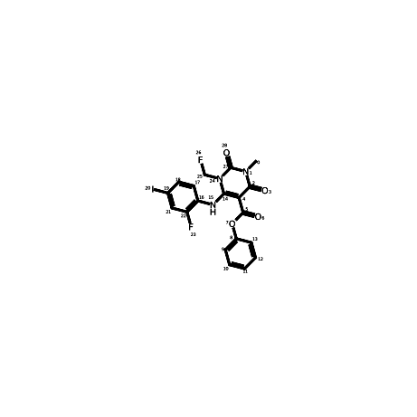 Cn1c(=O)c(C(=O)Oc2ccccc2)c(Nc2ccc(I)cc2F)n(CF)c1=O